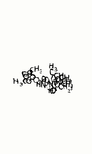 COc1cc2c(c(OC)c1OC)CCC(C(=O)N[C@@H](Cc1ccccc1)C(=O)N[C@@H](CC(C)C)B1OC(C)(C)C(C)(C)O1)C2